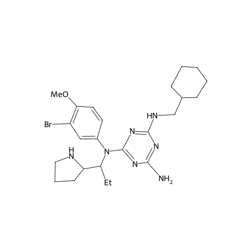 CCC(C1CCCN1)N(c1ccc(OC)c(Br)c1)c1nc(N)nc(NCC2CCCCC2)n1